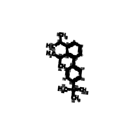 CC(C)c1cccc(-c2ccc([Si](C)(C)C)cc2)c1C(C)C